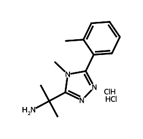 Cc1ccccc1-c1nnc(C(C)(C)N)n1C.Cl.Cl